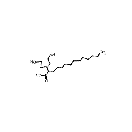 CCCCCCCCCCCCC(C(=O)O)N(CCO)CCO